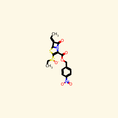 CC=C1C(=O)N2C(C(=O)OCc3ccc([N+](=O)[O-])cc3)=C([S+]([O-])CC)SC12